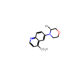 CC[C@H]1COCCN1c1ccc2nccc(C(=O)O)c2c1